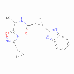 CC(NC(=O)[C@H]1C[C@@H]1c1nc2ccccc2[nH]1)c1nc(C2CC2)no1